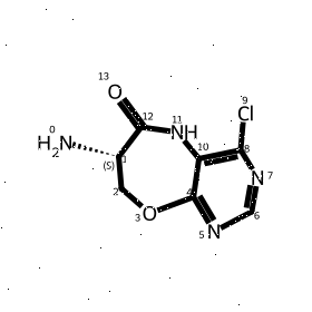 N[C@H]1COc2ncnc(Cl)c2NC1=O